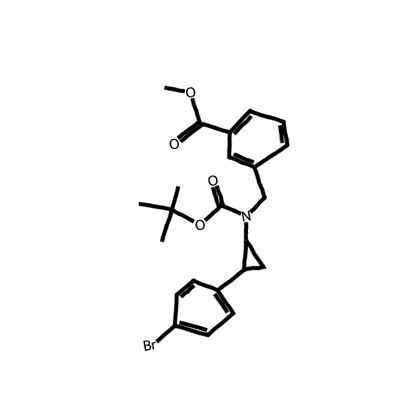 COC(=O)c1cccc(CN(C(=O)OC(C)(C)C)C2CC2c2ccc(Br)cc2)c1